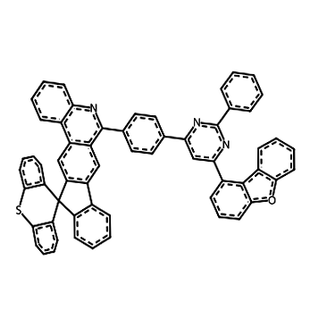 c1ccc(-c2nc(-c3ccc(-c4nc5ccccc5c5cc6c(cc45)-c4ccccc4C64c5ccccc5Sc5ccccc54)cc3)cc(-c3cccc4oc5ccccc5c34)n2)cc1